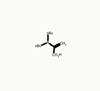 C=C(C(=O)O)N(CCCC)CCCC